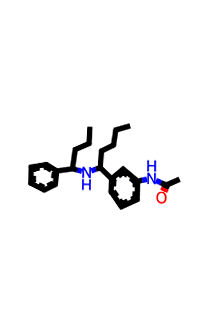 CCCCC(NC(CCC)c1ccccc1)c1cccc(NC(C)=O)c1